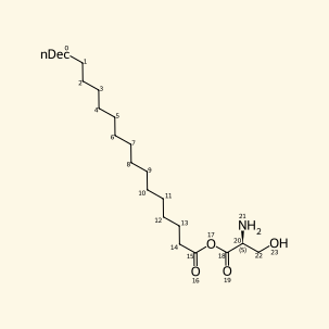 CCCCCCCCCCCCCCCCCCCCCCCCC(=O)OC(=O)[C@@H](N)CO